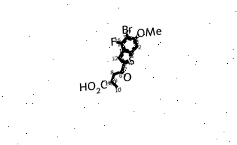 COc1cc2sc(C(=O)C[C@H](C)C(=O)O)cc2c(F)c1Br